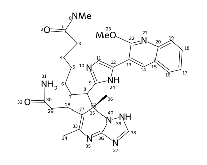 CNC(=O)CCCCCC(c1ncc(-c2cc3ccccc3nc2OC)[nH]1)[C@@]1(C)C(CCC(N)=O)=C(C)N=C2N=CNN21